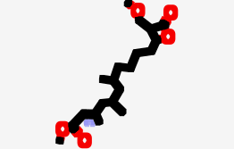 COCC1C(=O)OC1CCCCC(C)CC(C)C/C(C)=C/C(=O)OC